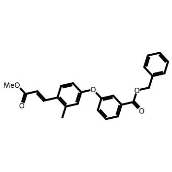 COC(=O)C=Cc1ccc(Oc2cccc(C(=O)OCc3ccccc3)c2)cc1C